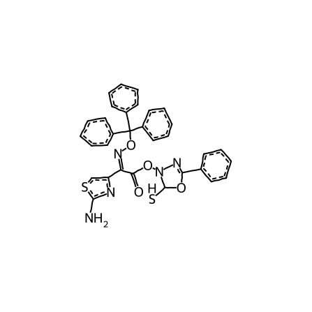 Nc1nc(/C(=N/OC(c2ccccc2)(c2ccccc2)c2ccccc2)C(=O)ON2N=C(c3ccccc3)OC2S)cs1